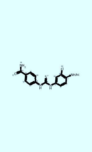 CC(=O)Nc1ccc(NC(=S)Nc2ccc(C(N)=O)cc2)cc1Cl